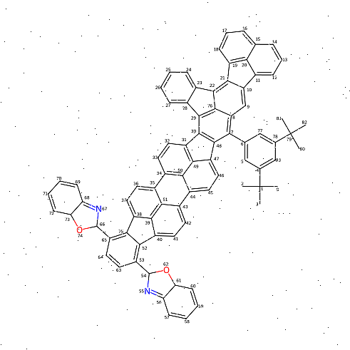 CC(C)(C)c1cc(-c2c3cc4c5cccc6cccc(c65)c4c4c5ccccc5c(c5c6ccc7c8ccc9c%10c(ccc(c%11ccc(c25)c6c%117)c%108)-c2c(C5N=C6C=CC=CC6O5)ccc(C5N=C6C=CC=CC6O5)c2-9)c34)cc(C(C)(C)C)c1